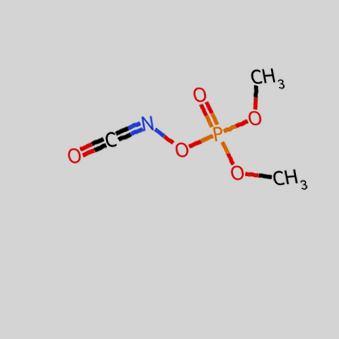 COP(=O)(OC)ON=C=O